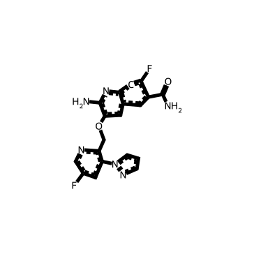 NC(=O)c1cc2cc(OCc3ncc(F)cc3-n3cccn3)c(N)nc2cc1F